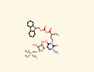 C=P(C)(C)CC[C@H]1O[C@@H](c2cn(C)c(=O)n(CCC(C)C(=O)OC(=O)OCC3c4ccccc4-c4ccccc43)c2=O)[C@H](O)[C@@H]1O